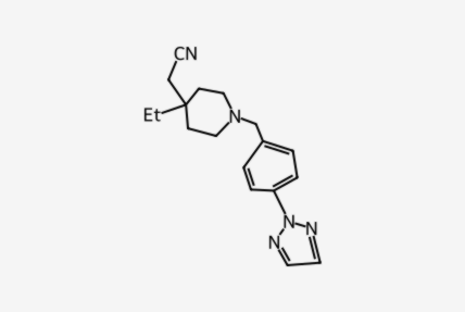 CCC1(CC#N)CCN(Cc2ccc(-n3nccn3)cc2)CC1